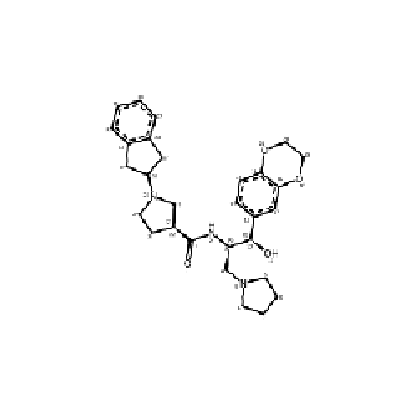 O=C(N[C@H](CN1CCCC1)[C@H](O)c1ccc2c(c1)OCCO2)[C@H]1CCN(C2Cc3ccccc3C2)C1